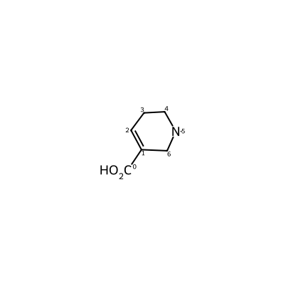 O=C(O)C1=CCC[N]C1